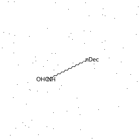 CCCCCCCCCCCCCCCCCCCCCCCCCCCCCCN[C]=O